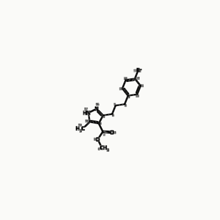 COC(=O)c1c(CCCc2ccc(Br)cc2)n[nH]c1C